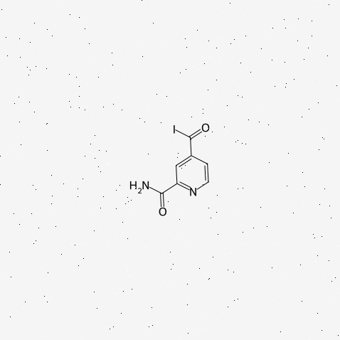 NC(=O)c1cc(C(=O)I)ccn1